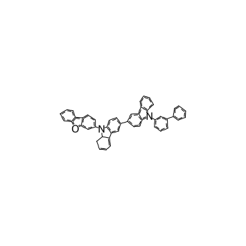 C1=CCC2C(=C1)c1cc(-c3ccc4c(c3)c3ccccc3n4-c3cccc(-c4ccccc4)c3)ccc1N2c1ccc2c(c1)oc1ccccc12